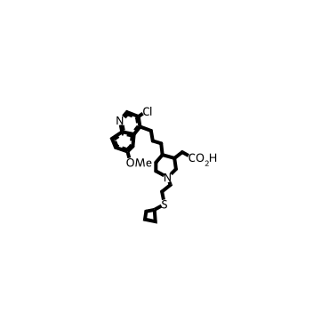 COc1ccc2ncc(Cl)c(CCCC3CCN(CCSC4CCC4)CC3CC(=O)O)c2c1